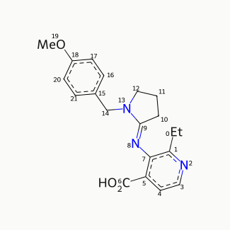 CCc1nccc(C(=O)O)c1/N=C1\CCCN1Cc1ccc(OC)cc1